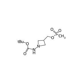 CC(C)(C)OC(=O)NN1CC(COS(C)(=O)=O)C1